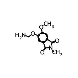 COc1cc2c(cc1OCN)C(=O)N(C)C2=O